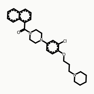 O=C(c1cccc2ccccc12)N1CCN(c2ccc(OCCCN3CCCCC3)c(Cl)c2)CC1